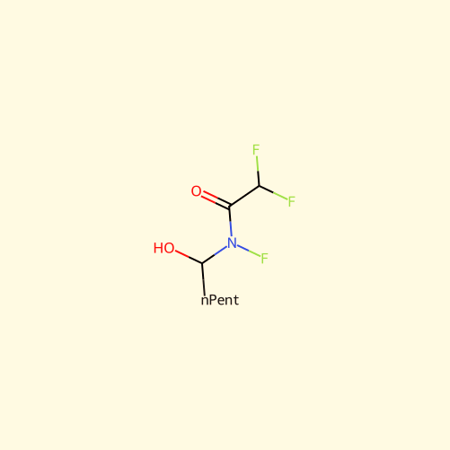 CCCCCC(O)N(F)C(=O)C(F)F